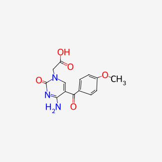 COc1ccc(C(=O)c2cn(CC(=O)O)c(=O)nc2N)cc1